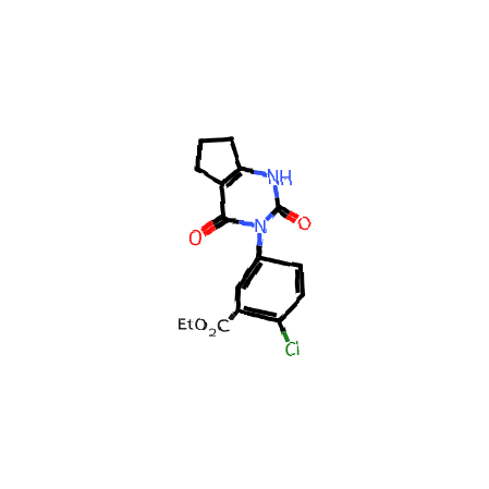 CCOC(=O)c1cc(-n2c(=O)[nH]c3c(c2=O)CCC3)ccc1Cl